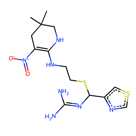 CC1(C)CNC(NCCSC(N=C(N)N)c2cscn2)=C([N+](=O)[O-])C1